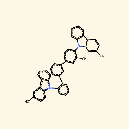 N#CC1=CC2C(C=C1)c1ccccc1N2c1ccc(-c2cccc(-c3ccccc3-n3c4ccccc4c4cc(C#N)ccc43)c2)cc1C#N